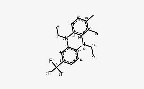 CCN1c2cc(C(F)(F)F)ccc2N(CC)c2c1ccc(C)c2C